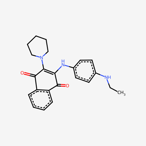 CCNc1ccc(NC2=C(N3CCCCC3)C(=O)c3ccccc3C2=O)cc1